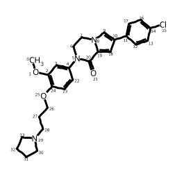 COc1cc(N2CCn3cc(-c4ccc(Cl)cc4)cc3C2=O)ccc1OCCCN1CCCC1